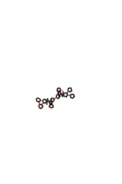 c1ccc(-c2ccccc2-c2cccc(-n3c4ccccc4c4cc(-c5ccc6c(c5)c5ccccc5n6-c5ccc(-c6ccccc6)c(-c6ccccc6)c5)ccc43)c2)cc1